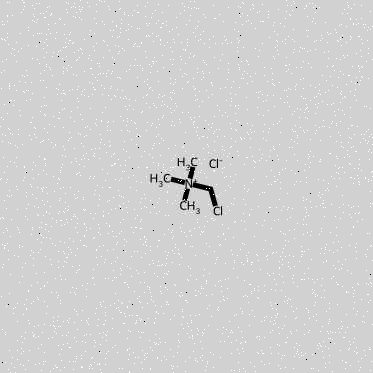 C[N+](C)(C)CCl.[Cl-]